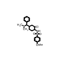 COc1ccc(S(=O)(=O)NC2CCC(C(c3ccccc3)N(C)C)CC2)cc1.Cl